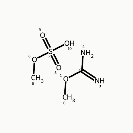 COC(=N)N.COS(=O)(=O)O